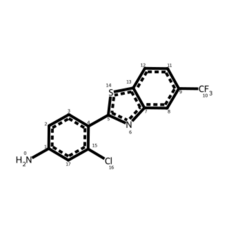 Nc1ccc(-c2nc3cc(C(F)(F)F)ccc3s2)c(Cl)c1